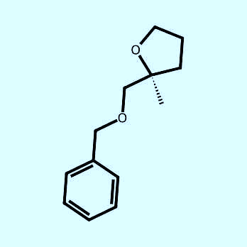 C[C@@]1(COCc2ccccc2)CCCO1